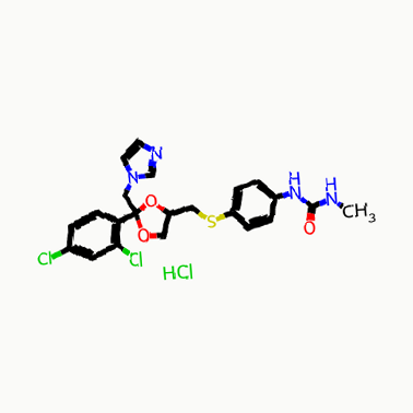 CNC(=O)Nc1ccc(SCC2COC(Cn3ccnc3)(c3ccc(Cl)cc3Cl)O2)cc1.Cl